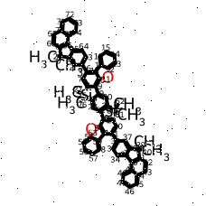 CC1(C)c2cc(-c3cc4c(c5oc6ccccc6c35)-c3cc5c(cc3[Si]4(C)C)-c3c(cc(-c4ccc6c(c4)C(C)(C)c4ccc7ccccc7c4-6)c4c3oc3ccccc34)[Si]5(C)C)ccc2-c2c1ccc1ccccc21